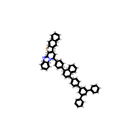 c1ccc(-c2cc(-c3ccccc3)cc(-c3ccc(-c4ccc(-c5ccc(-c6cc7c8cc9ccccc9cc8sc7c7nc8ccccc8n67)cc5)c5ccccc45)cc3)c2)cc1